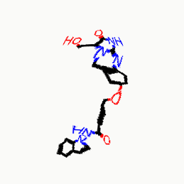 O=C(CCCOc1ccc2c(c1)CN1C(=N2)NC(=O)C1CO)NN1CCc2ccccc21